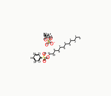 CCCCCCCCCCCCOS(=O)(=O)c1ccccc1.O=S(=O)([O-])[O-].[Na+].[Na+]